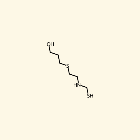 OCCCSCCNCS